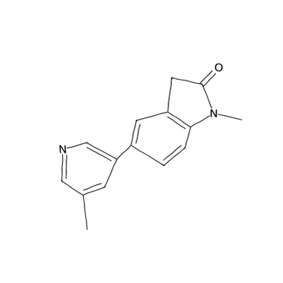 Cc1cncc(-c2ccc3c(c2)CC(=O)N3C)c1